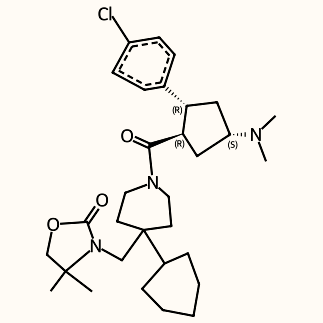 CN(C)[C@@H]1C[C@@H](C(=O)N2CCC(CN3C(=O)OCC3(C)C)(C3CCCCC3)CC2)[C@H](c2ccc(Cl)cc2)C1